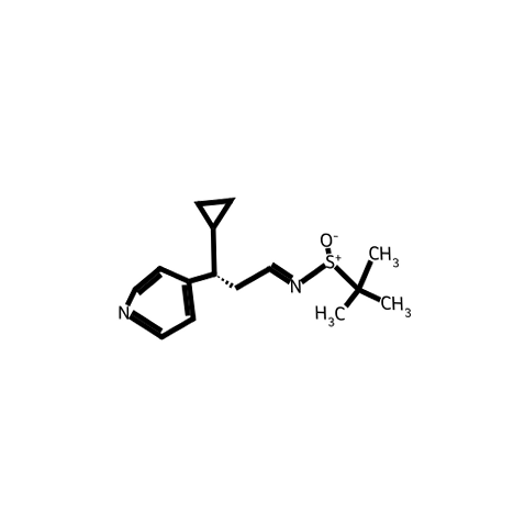 CC(C)(C)[S+]([O-])N=CC[C@H](c1ccncc1)C1CC1